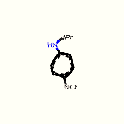 CC(C)Nc1ccc(N=O)cc1